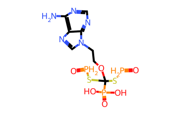 Nc1ncnc2c1ncn2CCOC(S[PH2]=O)(S[PH2]=O)P(=O)(O)O